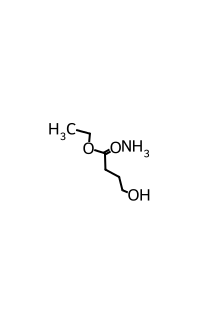 CCOC(=O)CCCO.N